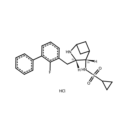 Cl.O=S(=O)(N[C@H]1C2CC(C2)N[C@H]1Cc1cccc(-c2ccccc2)c1F)C1CC1